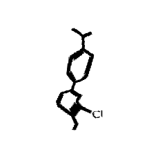 Cc1ccc(-c2ccc(C(C)C)cc2)cc1Cl